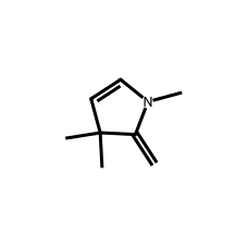 C=C1N(C)C=CC1(C)C